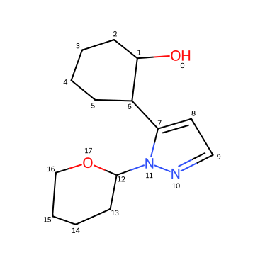 OC1CCCCC1c1ccnn1C1CCCCO1